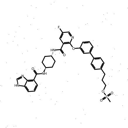 CS(=O)(=O)OCCCc1ccc(-c2cccc(Oc3ncc(F)cc3C(=O)N[C@H]3CC[C@H](NC(=O)c4cccc5[nH]cnc45)CC3)c2)cc1